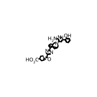 Nc1nnc(-c2ccccc2O)cc1N1CC2CC3C(CC2C3c2ncc(C(=O)N3CCC(C(=O)O)CC3)cn2)C1